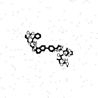 C=CCCN(Cc1nc2ccc3cc(-c4ccc(-c5cnc([C@@H]6C(=C)C7(CN6C(=O)[C@@H](NC(=O)OC)C(C)C)OCCO7)[nH]5)cc4)ccc3c2[nH]1)C(=O)[C@H](NC(=O)OC)c1ccccc1